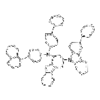 c1ccc(-c2ccc(N(c3ccc(-c4cccc5ccccc45)cc3)c3cc(-n4c5ccccc5c5cc(-c6ccccc6)ccc54)cc4c3sc3ccccc34)cc2)cc1